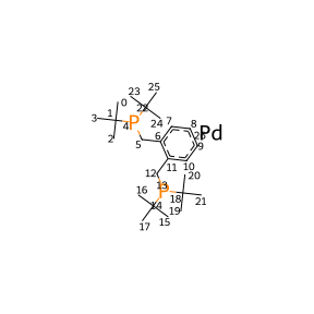 CC(C)(C)P(Cc1ccccc1CP(C(C)(C)C)C(C)(C)C)C(C)(C)C.[Pd]